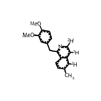 [2H]c1nc(Cc2ccc(OC)c(OC)c2)c2ccc(C)c([2H])c2c1[2H]